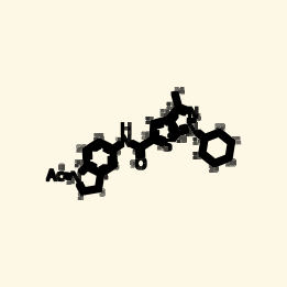 CC(=O)N1CCc2cc(NC(=O)c3cc4c(C)nn(C5CCCCC5)c4s3)ccc21